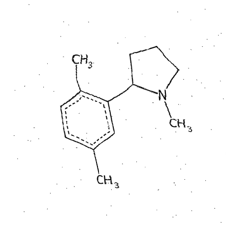 Cc1ccc(C)c(C2CCCN2C)c1